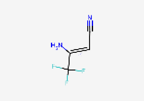 N#C/C=C(\N)C(F)(F)F